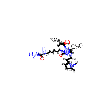 CNC(C)C(=O)NC(C=O)CN(CCC1CCC(C)N1C)C(=O)NCCCCCCNC(N)=O